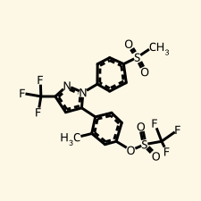 Cc1cc(OS(=O)(=O)C(F)(F)F)ccc1-c1cc(C(F)(F)F)nn1-c1ccc(S(C)(=O)=O)cc1